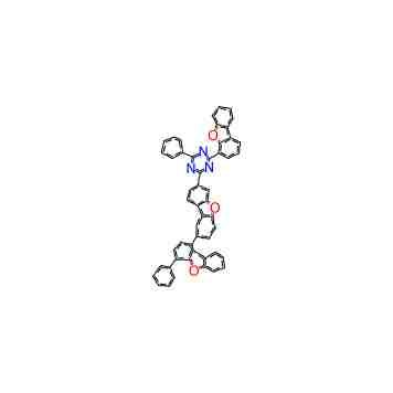 c1ccc(-c2nc(-c3ccc4c(c3)oc3ccc(-c5ccc(-c6ccccc6)c6oc7ccccc7c56)cc34)nc(-c3cccc4c3oc3ccccc34)n2)cc1